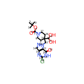 CC(C)(C)OC(=O)N1CCC(Cn2ncc3nc(Cl)[nH]c(=O)c32)(C(O)O)CC1